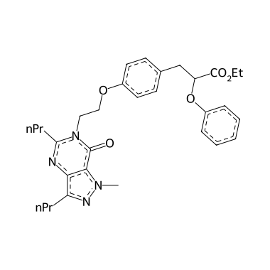 CCCc1nn(C)c2c(=O)n(CCOc3ccc(CC(Oc4ccccc4)C(=O)OCC)cc3)c(CCC)nc12